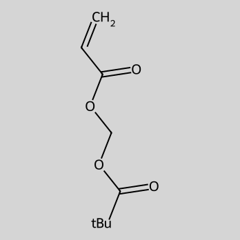 C=CC(=O)OCOC(=O)C(C)(C)C